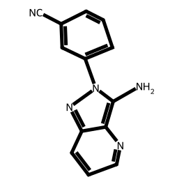 N#Cc1cccc(-n2nc3cccnc3c2N)c1